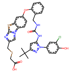 CC(C)(C)c1cc(NC(=O)NCc2ccccc2Oc2ccc3c(c2)sc2nc(CSCC(=O)O)cn23)n(-c2ccc(O)c(Cl)c2)n1